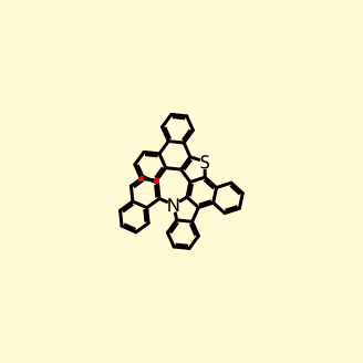 c1ccc2c(-n3c4ccccc4c4c5ccccc5c5sc6c7ccccc7c7ccccc7c6c5c43)cccc2c1